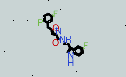 O=C(NCCc1c[nH]c2ccc(F)cc12)c1cc(CC2=CC(F)CC=C2F)on1